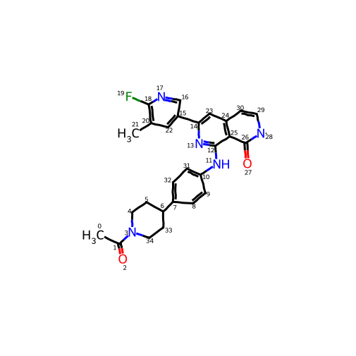 CC(=O)N1CCC(c2ccc(Nc3nc(-c4cnc(F)c(C)c4)cc4c3C(=O)[N]C=C4)cc2)CC1